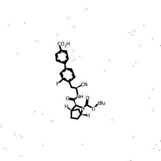 CC(C)(C)OC(=O)N1[C@@H]2CC[C@@H](C2)[C@H]1C(=O)N[C@H](C#N)Cc1ccc(-c2ccc(C(=O)O)cc2)cc1F